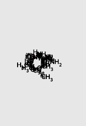 CCCCCC[C@H]1OC[C@@H](C)NC(=O)[C@H](CNc2cc(CN)ncn2)NC(=O)[C@H](CN)NC(=O)C(C2CCCCCC2)NC(=O)[C@H](CCC)N(C)C(=O)[C@@H]1C